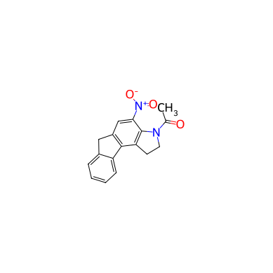 CC(=O)N1CCc2c3c(cc([N+](=O)[O-])c21)Cc1ccccc1-3